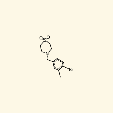 Cc1cc(CN2CCS(=O)(=O)CC2)ccc1Br